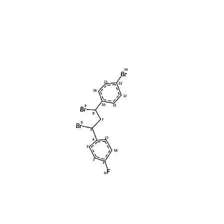 Fc1ccc(C(Br)CC(Br)c2ccc(Br)cc2)cc1